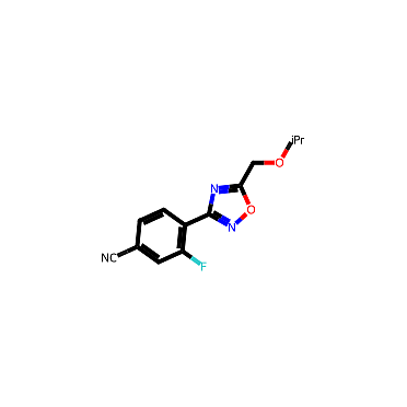 CC(C)OCc1nc(-c2ccc(C#N)cc2F)no1